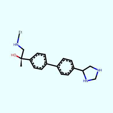 CCNC[C@@](C)(O)c1ccc(-c2ccc(C3CNCN3)cc2)cc1